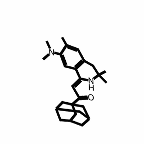 Cc1cc2c(cc1N(C)C)C(=CC(=O)C13CC4CC(CC(C4)C1)C3)NC(C)(C)C2